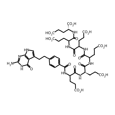 Nc1nc2[nH]cc(CCc3ccc(C(=O)NC(CCC(=O)O)C(=O)N[C@H](CCC(=O)O)C(=O)NC(CCC(=O)O)C(=O)NC(CCC(=O)O)C(=O)NC(CCC(=O)O)C(=O)N[C@H](CCC(=O)O)C(=O)O)cc3)c2c(=O)[nH]1